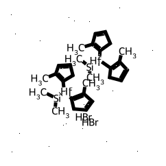 Br.Br.CC1=[C]([Hf]([C]2=C(C)C=CC2)=[Si](C)C)CC=C1.CC1=[C]([Hf]([C]2=C(C)C=CC2)=[Si](C)C)CC=C1